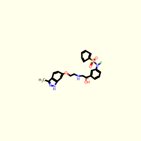 Cc1n[nH]c2cc(OCCNC[C@H](O)c3cccc(N(F)S(=O)(=O)c4ccccc4)c3)ccc12